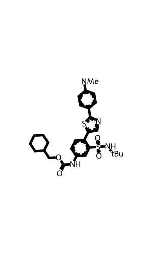 CNc1ccc(-c2ncc(-c3ccc(NC(=O)OCC4CCCCC4)cc3S(=O)(=O)NC(C)(C)C)s2)cc1